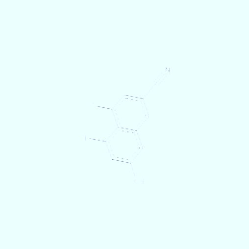 Cc1cc(F)c2c(O)cc(C#N)cc2c1